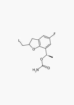 C[C@@H](OC(N)=O)c1cc(F)cc2c1OC(CI)C2